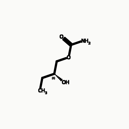 CC[C@@H](O)COC(N)=O